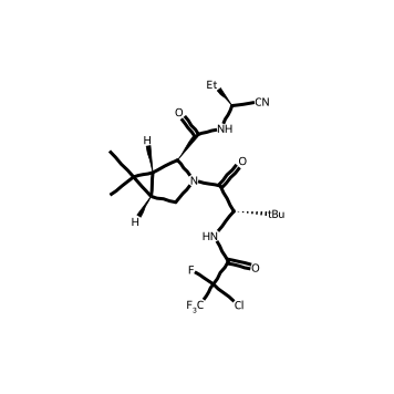 CC[C@@H](C#N)NC(=O)[C@@H]1[C@@H]2[C@H](CN1C(=O)[C@@H](NC(=O)C(F)(Cl)C(F)(F)F)C(C)(C)C)C2(C)C